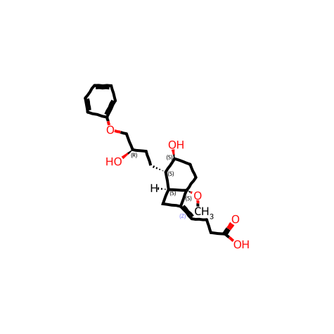 CO[C@@]12CC[C@H](O)[C@@H](CC[C@@H](O)COc3ccccc3)[C@@H]1C/C2=C/CCC(=O)O